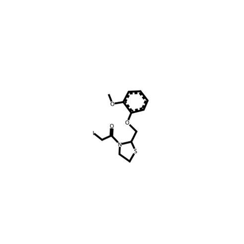 COc1ccccc1OCC1SCCN1C(=O)CI